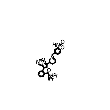 CC(C)N(C(=O)c1ccccc1-c1cc(C2CCCN(Cc3ccc4oc(=O)[nH]c4c3)C2)n2ncncc12)C(C)C